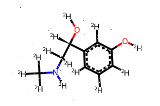 [2H]Oc1c([2H])c([2H])c([2H])c([C@@]([2H])(O[2H])C([2H])([2H])N([2H])C([2H])([2H])[2H])c1[2H]